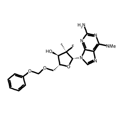 CNc1nc(N)nc2c1ncn2[C@@H]1O[C@H](COCOc2ccccc2)[C@@H](O)[C@@]1(C)F